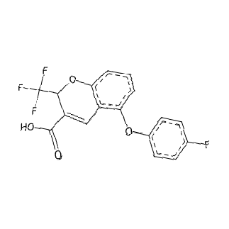 O=C(O)C1=Cc2c(Oc3ccc(F)cc3)cccc2OC1C(F)(F)F